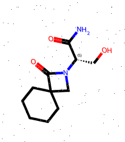 NC(=O)[C@H](CO)N1CC2(CCCCC2)C1=O